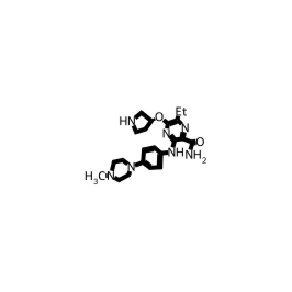 CCc1nc(C(N)=O)c(Nc2ccc(N3CCN(C)CC3)cc2)nc1O[C@H]1CCNC1